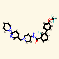 O=C(NC1CCN(Cc2ccc(N3CCCCC3)nc2)CC1)c1cccc(-c2ccc(OC(F)(F)F)cc2)c1F